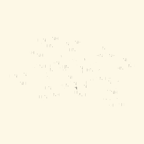 N=C(N)NCCC[C@H](NC(=O)[C@H](CCCNC(=N)N)NC(=O)[C@H](CCCNC(=N)N)NC(=O)[C@H](CCCNC(=N)N)NC(=O)[C@H](CCCNC(=N)N)NC(=O)[C@H](CCCNC(=N)N)NC(=O)[C@H](CCCNC(=N)N)NC(=O)[C@H](CCCNC(=N)N)NC(=O)[C@@H](N)CS)C(=O)N[C@@H](CS)C(=O)O